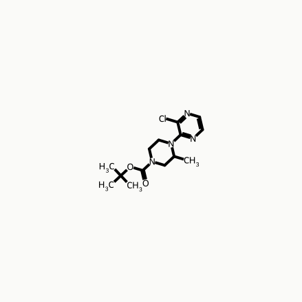 CC1CN(C(=O)OC(C)(C)C)CCN1c1nccnc1Cl